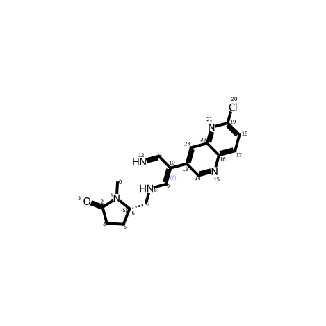 CN1C(=O)CC[C@H]1CN/C=C(\C=N)c1cnc2ccc(Cl)nc2c1